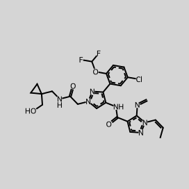 C=Nc1c(C(=O)Nc2cn(CC(=O)NCC3(CO)CC3)nc2-c2cc(Cl)ccc2OC(F)F)cnn1/C=C\C